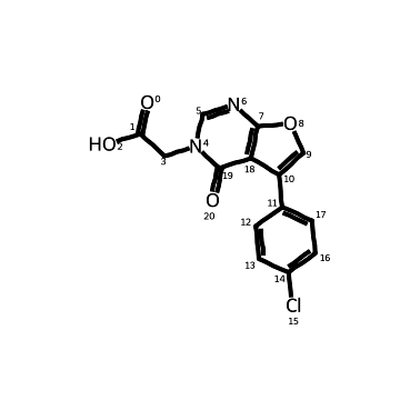 O=C(O)Cn1cnc2occ(-c3ccc(Cl)cc3)c2c1=O